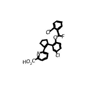 O=C(O)c1cccc(C2=C(c3cc(Cl)ccc3OC(F)c3ccccc3Cl)CCC2)n1